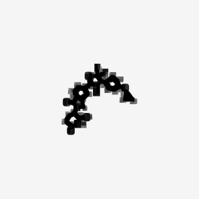 O=C1CCC(N2Cc3cc(C(=O)N[C@H](c4ccc(OC5CC5)cc4)C(F)(F)F)ccc3C2=O)C(=O)N1